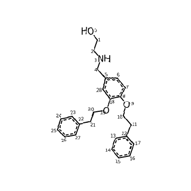 OCCNCc1ccc(OCCc2ccccc2)c(OCCc2ccccc2)c1